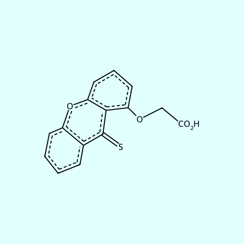 O=C(O)COc1cccc2oc3ccccc3c(=S)c12